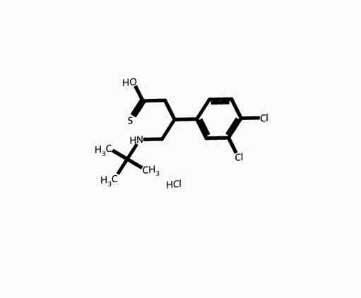 CC(C)(C)NCC(CC(O)=S)c1ccc(Cl)c(Cl)c1.Cl